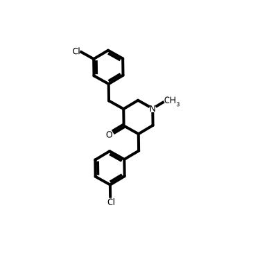 CN1CC(Cc2cccc(Cl)c2)C(=O)C(Cc2cccc(Cl)c2)C1